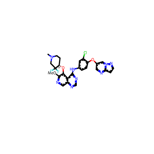 COc1ncc2ncnc(Nc3ccc(Oc4cnc5ccnn5c4)c(Cl)c3)c2c1O[C@H]1CCN(C)CC1(F)F